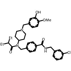 CCC(CC)C(=O)N(Cc1ccc(C(=O)NCc2cccc(Cl)c2)cc1)C1CCN(Cc2ccc(OC)c(O)c2)CC1